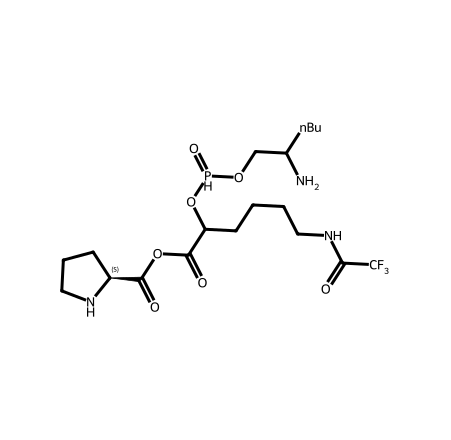 CCCCC(N)CO[PH](=O)OC(CCCCNC(=O)C(F)(F)F)C(=O)OC(=O)[C@@H]1CCCN1